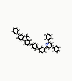 CC1(C)c2cc(-c3ccccc3)ccc2-c2ccc(-c3ccc(-c4cccc(-c5cc(-c6ccccc6)cc(-c6ccccc6)n5)c4)cc3)cc21